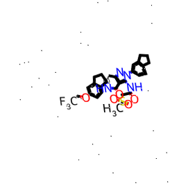 CS(=O)(=O)CC(=O)Nc1c2c(nn1-c1ccc3c(c1)CCC3)C[C@]1(CCc3cc(OCC(F)(F)F)ccc31)NC2=O